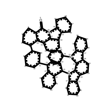 O=c1c2cccc(-c3cccc(-c4ccc(-n5c6ccccc6c6ccc7c8ccccc8n(-c8ccccc8)c7c65)c5ccccc45)c3)c2c2cccc3c4ccccc4n1c32